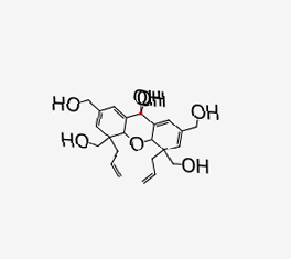 C=CCC1(CO)C=C(CO)C=C(CO)C1OC1C(CO)=CC(CO)=CC1(CO)CC=C